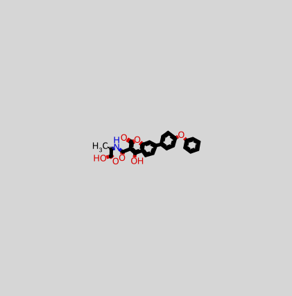 C[C@H](NC(=O)c1c(O)c2ccc(-c3ccc(Oc4ccccc4)cc3)cc2oc1=O)C(=O)O